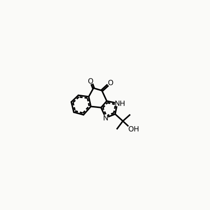 CC(C)(O)c1nc2c([nH]1)C(=O)C(=O)c1ccccc1-2